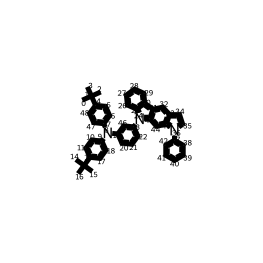 CC(C)(C)c1ccc(N(c2ccc(C(C)(C)C)cc2)c2cccc(-n3c4ccccc4c4cc5ccn(-c6ccccc6)c5cc43)c2)cc1